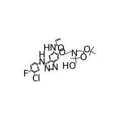 C=CC(=O)Nc1cc2c(Nc3ccc(F)c(Cl)c3)ncnc2cc1OCCN(CC(=O)OC(C)(C)C)C(C)(C)CO